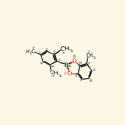 Cc1cc(C)c(B2Oc3cccc(C)c3O2)c(C)c1